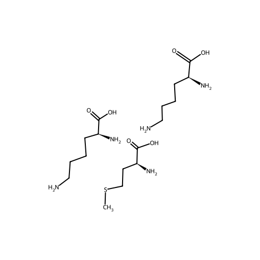 CSCC[C@H](N)C(=O)O.NCCCC[C@H](N)C(=O)O.NCCCC[C@H](N)C(=O)O